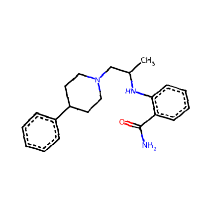 CC(CN1CCC(c2ccccc2)CC1)Nc1ccccc1C(N)=O